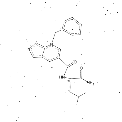 CC(C)C[C@H](NC(=O)c1cc2cncc-2n(Cc2ccccc2)c1)C(N)=O